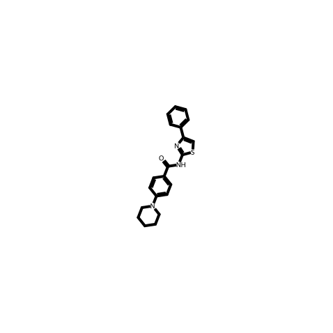 O=C(Nc1nc(-c2ccccc2)cs1)c1ccc(N2CCCCC2)cc1